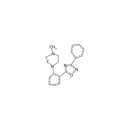 CN1CCN(c2ccccc2-c2nc(-c3ccccc3)no2)CC1